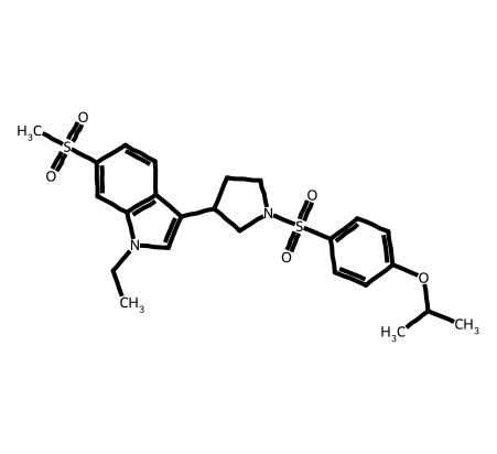 CCn1cc(C2CCN(S(=O)(=O)c3ccc(OC(C)C)cc3)C2)c2ccc(S(C)(=O)=O)cc21